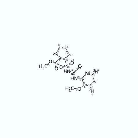 [2H]c1cc([2H])c(OC)c(NC(=O)NS(=O)(=O)c2ccccc2C(=O)OC)n1